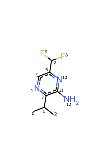 CC(C)c1ncc(C(F)F)nc1N